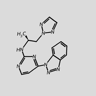 C[C@@H](Cn1nccn1)Nc1nccc(-n2nnc3ccccc32)n1